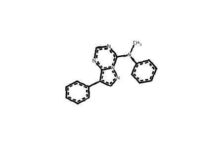 CN(c1ccccc1)c1ncnc2c(-c3ccccc3)cnn12